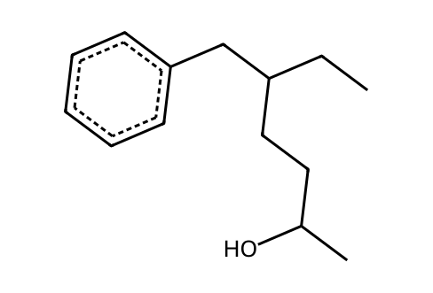 CCC(CCC(C)O)Cc1ccccc1